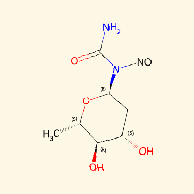 C[C@@H]1O[C@@H](N(N=O)C(N)=O)C[C@H](O)[C@H]1O